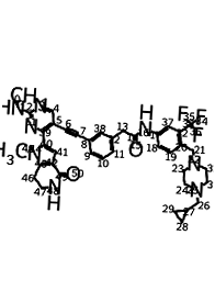 CNc1ncc(C#Cc2cccc(CC(=O)Nc3ccc(CN4CCN(CC5CC5)CC4)c(C(F)(F)F)c3)c2)c(-c2cc3c(n2C)CCNC3=O)n1